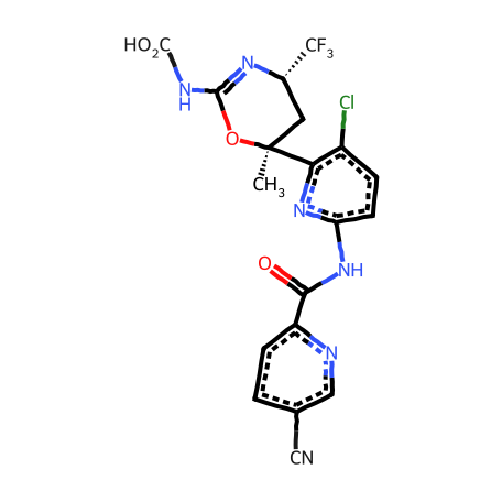 C[C@@]1(c2nc(NC(=O)c3ccc(C#N)cn3)ccc2Cl)C[C@@H](C(F)(F)F)N=C(NC(=O)O)O1